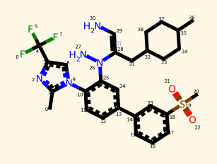 Cc1nc(C(F)(F)F)cn1-c1ccc(-c2cccc(S(C)(=O)=O)c2)cc1N(N)/C(=C\N)CC1CCC(C)CC1